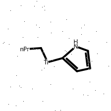 CCC[CH2][Ti][c]1ccc[nH]1